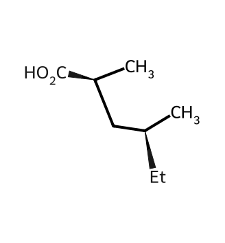 CC[C@H](C)C[C@H](C)C(=O)O